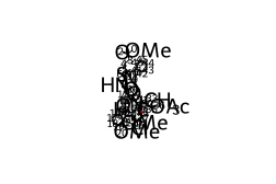 COC(=O)CCc1sc(NC(=O)C[C@H]2O[C@H](c3cccc(OC)c3OC)c3cc(Cl)ccc3N(CC(C)(C)COC(C)=O)C2=O)nc1-c1ccccc1